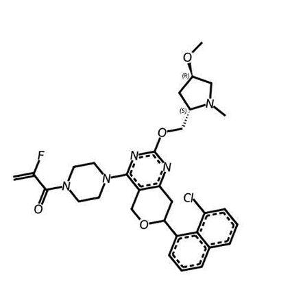 C=C(F)C(=O)N1CCN(c2nc(OC[C@@H]3C[C@@H](OC)CN3C)nc3c2COC(c2cccc4cccc(Cl)c24)C3)CC1